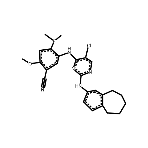 COc1cc(P(C)C)c(Nc2nc(Nc3ccc4c(c3)CCCCC4)ncc2Cl)cc1C#N